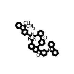 CC1(C)c2ccccc2-c2ccc(-c3nc(-c4ccccc4)nc(-c4cccc5oc6ccc(-c7cccc8oc9ccc(-n%10c%11ccccc%11c%11ccccc%11%10)cc9c78)cc6c45)n3)cc21